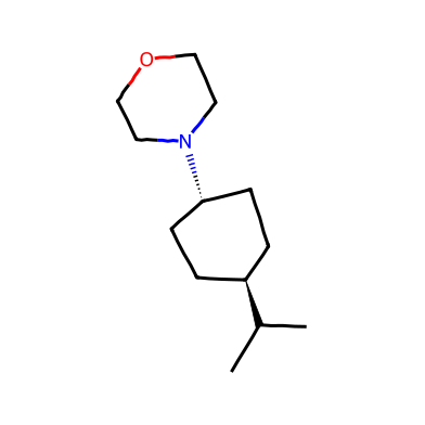 CC(C)[C@H]1CC[C@H](N2CCOCC2)CC1